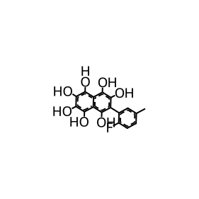 Cc1ccc(F)c(-c2c(O)c(O)c3c(O)c(O)c(O)c(O)c3c2O)c1